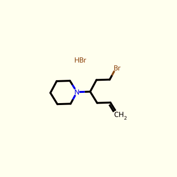 Br.C=CCC(CCBr)N1CCCCC1